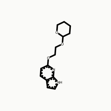 [c]1c[nH]c2nc(OCCOC3CCCCO3)ccc12